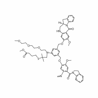 C=Nc1cc(OCc2cc(COc3cc4c(cc3OC)C(=O)N3c5ccccc5C[C@H]3CN4)cc(N(CCOCCOCCOC)CC(C)(C)SCCCC(=O)OC)c2)c(OC)cc1C(=O)N1CCc2ccccc21